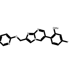 COc1cc(F)ccc1-c1cnc2nc(COc3ccccn3)cn2c1